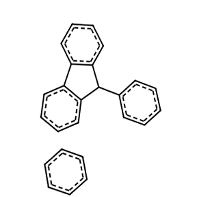 c1ccc(C2c3ccccc3-c3ccccc32)cc1.c1ccccc1